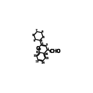 O=CC1C=C(C2CCCCC2)Oc2ccccc21